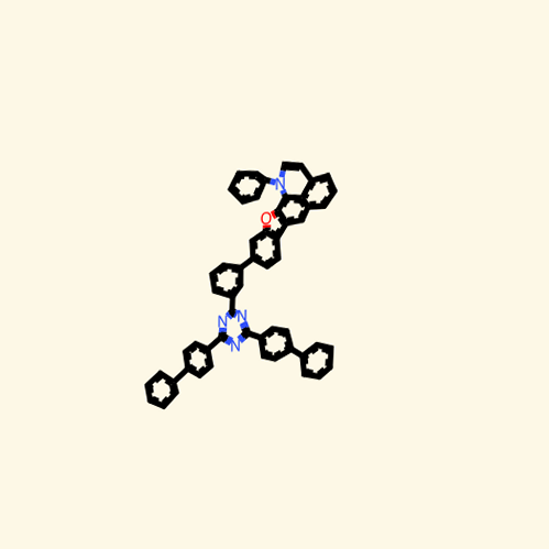 C1=CN(c2ccccc2)c2c3oc4cc(-c5cccc(-c6nc(-c7ccc(-c8ccccc8)cc7)nc(-c7ccc(-c8ccccc8)cc7)n6)c5)ccc4c3cc3cccc1c23